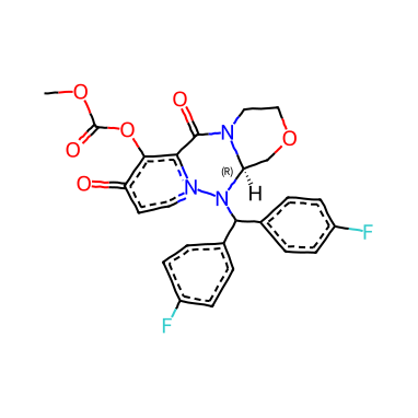 COC(=O)Oc1c2n(ccc1=O)N(C(c1ccc(F)cc1)c1ccc(F)cc1)[C@@H]1COCCN1C2=O